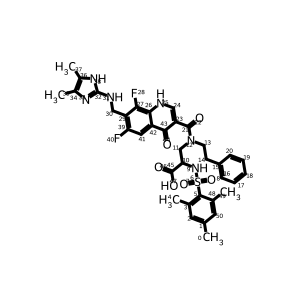 Cc1cc(C)c(S(=O)(=O)NC(CN(CCc2ccccc2)C(=O)c2c[nH]c3c(F)c(CNc4nc(C)c(C)[nH]4)c(F)cc3c2=O)C(=O)O)c(C)c1